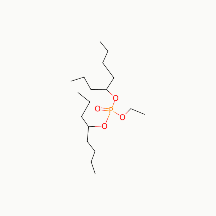 CCCCC(CCC)OP(=O)(OCC)OC(CCC)CCCC